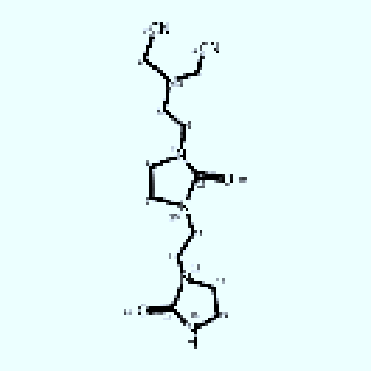 N#CCN(CC#N)CCN1CCN(CCN2CCNC2=O)C1=O